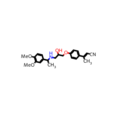 COc1ccc(C(C)NCC(O)COc2ccc(C(C)=CC#N)cc2)cc1OC